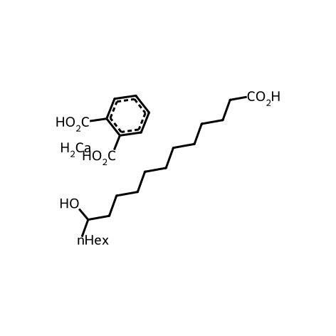 CCCCCCC(O)CCCCCCCCCCC(=O)O.O=C(O)c1ccccc1C(=O)O.[CaH2]